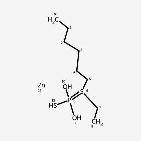 CCCCCCS(CC)=P(O)(O)S.[Zn]